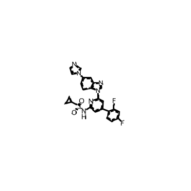 O=S(=O)(Nc1cc(-c2ccc(F)cc2F)cc(-n2cnc3cc(-n4ccnc4)ccc32)n1)C1CC1